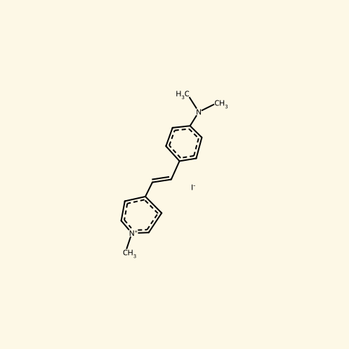 CN(C)c1ccc(/C=C/c2cc[n+](C)cc2)cc1.[I-]